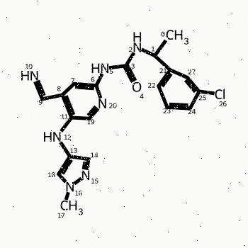 CC(NC(=O)Nc1cc(C=N)c(Nc2cnn(C)c2)cn1)c1cccc(Cl)c1